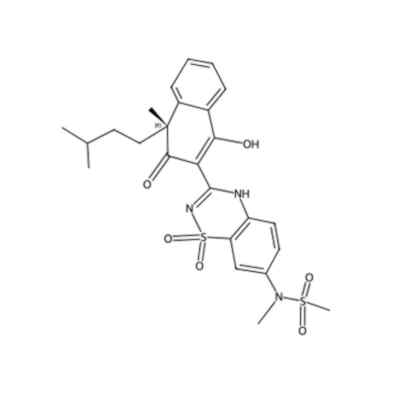 CC(C)CC[C@@]1(C)C(=O)C(C2=NS(=O)(=O)c3cc(N(C)S(C)(=O)=O)ccc3N2)=C(O)c2ccccc21